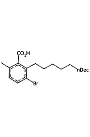 CCCCCCCCCCCCCCCc1c(Br)ccc(C)c1C(=O)O